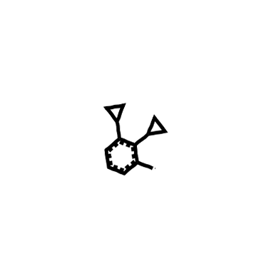 [CH2]c1cccc(C2CC2)c1C1CC1